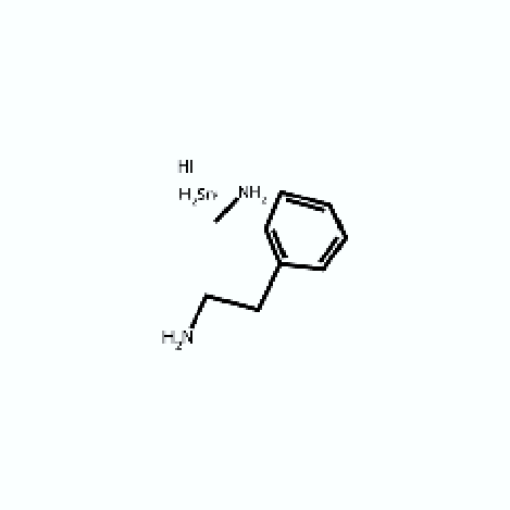 CN.I.NCCc1ccccc1.[SnH2]